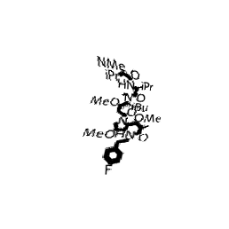 CC[C@H](C)[C@@H]([C@@H](CC(=O)N1C[C@H](OC)CC1[C@H](OC)[C@@H](C)C(=O)NCCc1ccc(F)cc1)OC)N(C)C(=O)[C@@H](NC(=O)[C@@H](NC)C(C)C)C(C)C